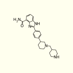 NC(=O)c1cccc2[nH]c(-c3ccc(C4CCCN(CC5CCNCC5)C4)cc3)nc12